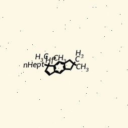 CCCCCCC[C]1([Hf]([CH3])[CH3])C=Cc2cc3c(cc21)CC(C)(C)C3